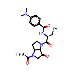 CCCC(C)C(=O)N1CC(=O)C2C1CCN2C(=O)[C@H](CC(C)C)NC(=O)c1ccc(N(C)C)cc1